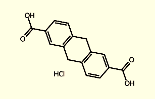 Cl.O=C(O)c1ccc2c(c1)Cc1ccc(C(=O)O)cc1C2